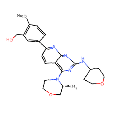 COc1ccc(-c2ccc3c(N4CCOC[C@@H]4C)nc(NC4CCOCC4)nc3n2)cc1CO